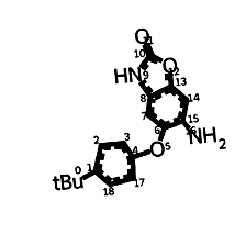 CC(C)(C)c1ccc(Oc2cc3[nH]c(=O)oc3cc2N)cc1